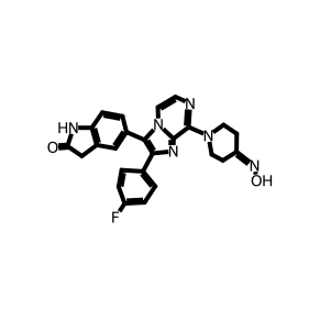 O=C1Cc2cc(-c3c(-c4ccc(F)cc4)nc4c(N5CCC(=NO)CC5)nccn34)ccc2N1